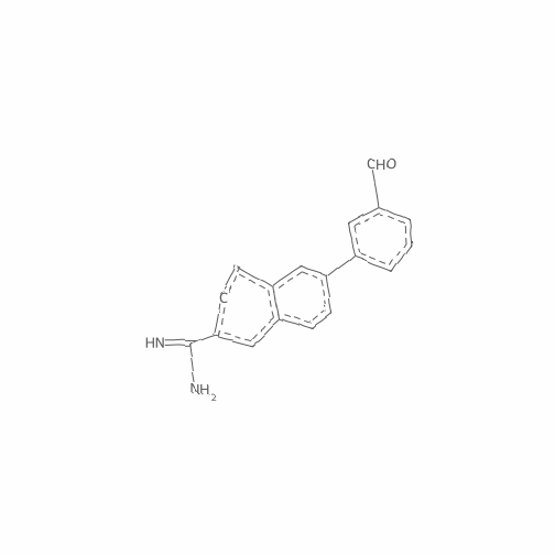 N=C(N)c1ccc2cc(-c3cccc(C=O)c3)ccc2c1